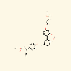 CC#CC(CC(=O)OC)c1ccc(OCc2ccc3c(c2)-c2ccc(OCCCS(C)(=O)=O)cc2OCO3)cc1